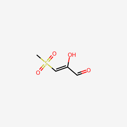 CS(=O)(=O)C=C(O)C=O